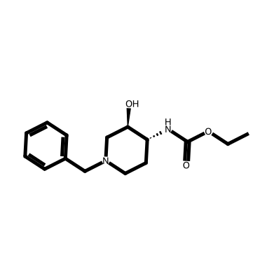 CCOC(=O)N[C@@H]1CCN(Cc2ccccc2)C[C@H]1O